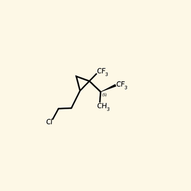 C[C@H](C(F)(F)F)C1(C(F)(F)F)CC1CCCl